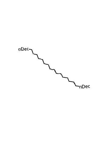 CCCCCCCCCCCCCCCCCCCCCCCCCCCCCCCCCCCC